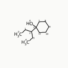 CCC(CC)C1(O)CCCCC1